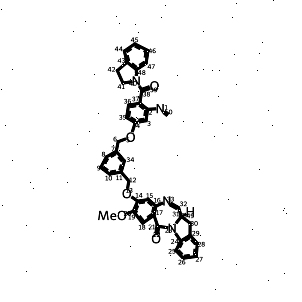 C=Nc1cc(OCc2cccc(COc3cc4c(cc3OC)C(=O)N3c5ccccc5C[C@H]3C=N4)c2)ccc1C(=O)N1CCc2ccccc21